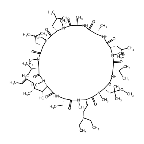 C/C=C/C[C@@H](C)[C@@H](O)[C@H]1C(=O)N[C@@H](CC)C(=O)N(C)[C@H](CCN(CC)CC)C(=O)N(C)[C@@H](CC(C)(C)OC)C(=O)N[C@@H](C(C)C)C(=O)N(C)[C@@H](CC(C)C)C(=O)N[C@@H](C)C(=O)N[C@H](C)C(=O)N(C)[C@@H](CC(C)C)C(=O)N(C)[C@@H](CC(C)C)C(=O)N(C)[C@@H](C(C)C)C(=O)N1C